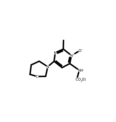 CCOC(=O)Nc1cc(N2CCCCC2)nc(C)[n+]1[O-]